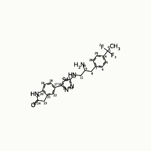 CC(F)(F)c1ccc(CC(N)CNc2nnc(-c3ccc4c(c3)CC(=O)N4)s2)cc1